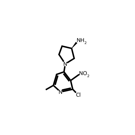 Cc1cc(N2CC[C@@H](N)C2)c([N+](=O)[O-])c(Cl)n1